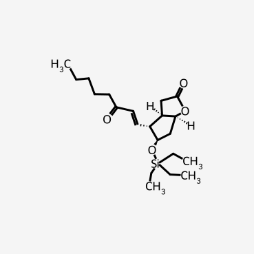 CCCCCC(=O)C=C[C@@H]1[C@H]2CC(=O)O[C@H]2C[C@H]1O[Si](CC)(CC)CC